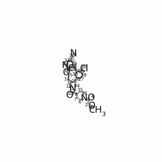 COCC(=O)N1CCC(C(=O)N2CC(CCOc3ccc(C#N)cn3)C(c3ccc(Cl)c(Cl)c3)C2)CC1